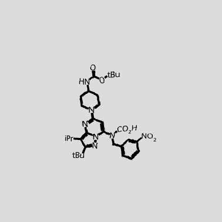 CC(C)c1c(C(C)(C)C)nn2c(N(Cc3cccc([N+](=O)[O-])c3)C(=O)O)cc(N3CCC(NC(=O)OC(C)(C)C)CC3)nc12